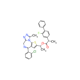 Cc1nnc2n1-c1sc(C(C)OC(=O)C(C)c3ccc(-c4ccccc4)c(F)c3)cc1C(c1ccccc1Cl)=NC2